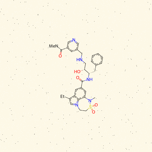 CCc1cn2c3c(cc(C(=O)N[C@@H](Cc4ccccc4)[C@H](O)CNCc4cncc(C(=O)NC)c4)cc13)N(C)S(=O)(=O)CC2